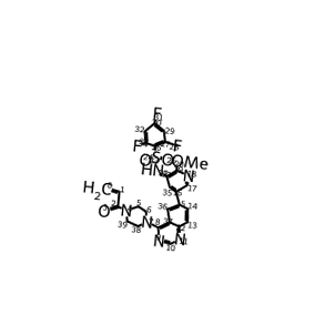 C=CC(=O)N1CCN(c2ncnc3ccc(-c4cnc(OC)c(NS(=O)(=O)c5c(F)cc(F)cc5F)c4)cc23)CC1